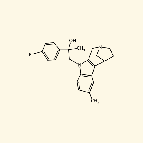 Cc1ccc2c(c1)c1c(n2CC(C)(O)c2ccc(F)cc2)CN2CCC1C2